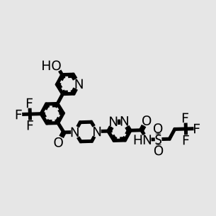 O=C(NS(=O)(=O)CCC(F)(F)F)c1ccc(N2CCN(C(=O)c3cc(-c4cncc(O)c4)cc(C(F)(F)F)c3)CC2)nn1